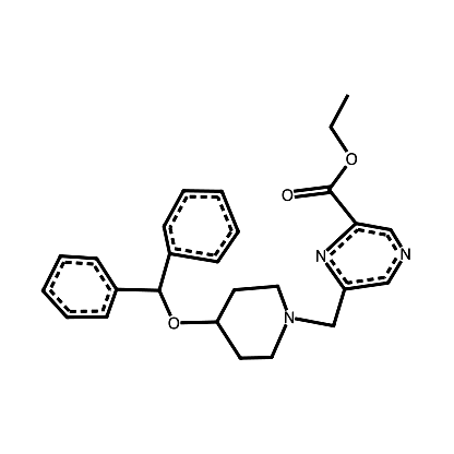 CCOC(=O)c1cncc(CN2CCC(OC(c3ccccc3)c3ccccc3)CC2)n1